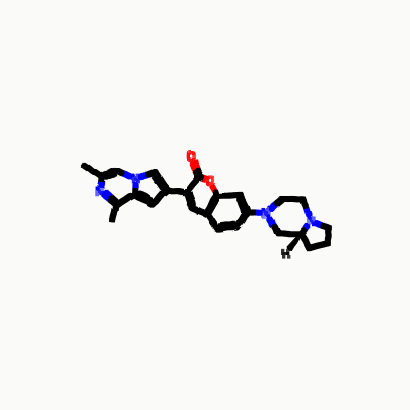 Cc1cn2cc(-c3cc4ccc(N5CCN6CCC[C@@H]6C5)cc4oc3=O)cc2c(C)n1